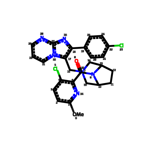 COc1ccc(Cl)c(C(=O)N2C3CCC2CN(Cc2c(-c4ccc(Cl)cc4)nc4ncccn24)C3)n1